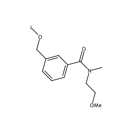 COCCN(C)C(=O)c1cccc(COI)c1